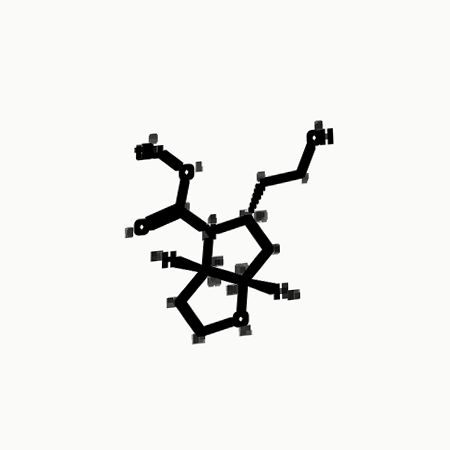 CC(C)(C)OC(=O)N1[C@H](CCO)C[C@@H]2OCC[C@@H]21